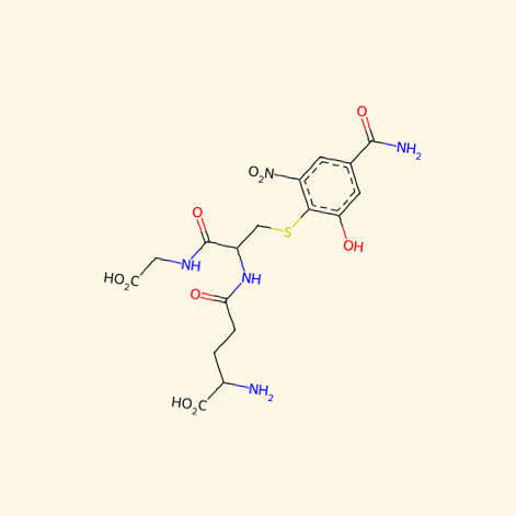 NC(=O)c1cc(O)c(SCC(NC(=O)CCC(N)C(=O)O)C(=O)NCC(=O)O)c([N+](=O)[O-])c1